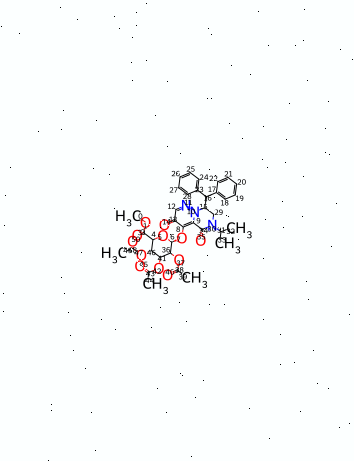 COC(=O)C1O[C@@H](Oc2c3n(ncc2=O)[C@@H](C(c2ccccc2)c2ccccc2)CN(C(C)C)C3=O)C(OC(C)=O)C(OC(C)=O)[C@@H]1OC(C)=O